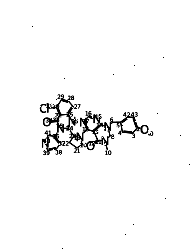 COc1ccc(CN2CN(C)C(=O)c3c2ncnc3N2CCCC2c2nc3cccc(Cl)c3c(=O)n2-c2cccnc2)cc1